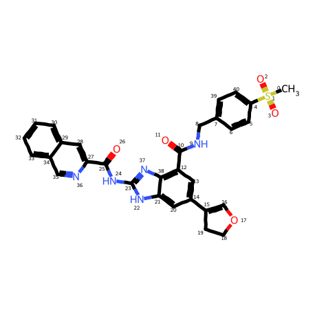 CS(=O)(=O)c1ccc(CNC(=O)c2cc(C3=COCC3)cc3[nH]c(NC(=O)c4cc5ccccc5cn4)nc23)cc1